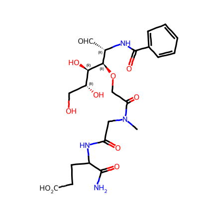 CN(CC(=O)NC(CCC(=O)O)C(N)=O)C(=O)CO[C@@H]([C@H](O)[C@H](O)CO)[C@H](C=O)NC(=O)c1ccccc1